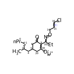 CCCSC(C)CC1CC(=O)C(C(CC)=NOC/C=C/Cl)=C([O-])C1.[Li+]